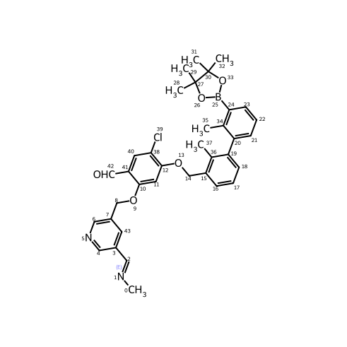 C/N=C/c1cncc(COc2cc(OCc3cccc(-c4cccc(B5OC(C)(C)C(C)(C)O5)c4C)c3C)c(Cl)cc2C=O)c1